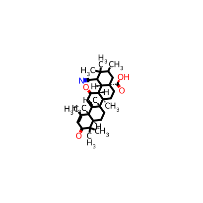 CC1=CC(=O)C(C)(C)[C@@H]2CC[C@]3(C)C(=CC(=O)[C@@H]4[C@@H]5C(C#N)C(C)(C)C(C)C[C@@]5(C(=O)O)CC[C@]43C)[C@@]12C